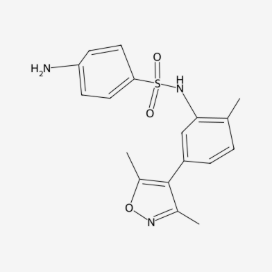 Cc1ccc(-c2c(C)noc2C)cc1NS(=O)(=O)c1ccc(N)cc1